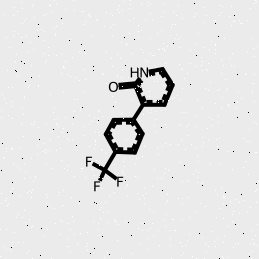 O=c1[nH]cccc1-c1ccc(C(F)(F)F)cc1